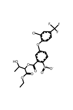 CCOC(=O)C(OC(=O)c1cc(Oc2ccc(C(F)(F)F)cc2Cl)ccc1[N+](=O)[O-])C(C)O